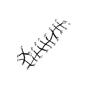 FC(F)(F)C(F)(F)C(F)(F)C(F)(F)C(F)(F)C(F)(F)C(F)(F)C(F)(F)C1(F)OC(F)(F)C(F)(F)C1(F)F